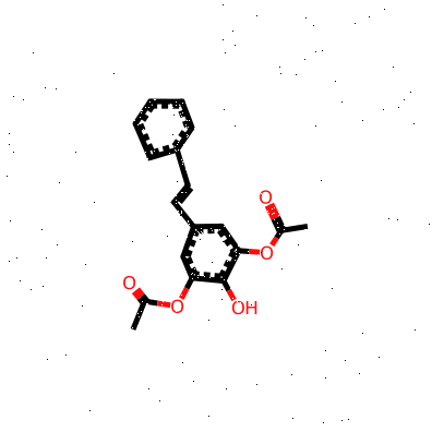 CC(=O)Oc1cc(C=Cc2ccccc2)cc(OC(C)=O)c1O